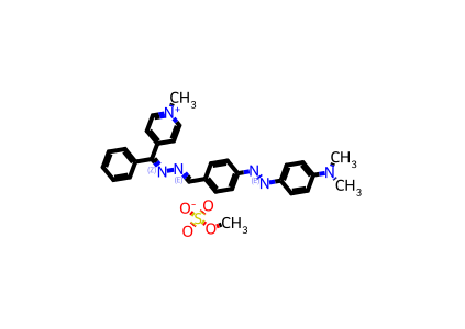 CN(C)c1ccc(/N=N/c2ccc(/C=N/N=C(/c3ccccc3)c3cc[n+](C)cc3)cc2)cc1.COS(=O)(=O)[O-]